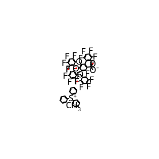 Cc1ccccc1[S+](c1ccccc1)c1ccccc1.O=C([O-])c1cc(Oc2c(F)c(F)c(F)c(F)c2F)c(Oc2c(F)c(F)c(F)c(F)c2F)c(Oc2c(F)c(F)c(F)c(F)c2F)c1-c1c(F)c(F)c(F)c(F)c1F